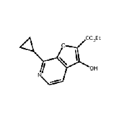 CCOC(=O)c1oc2c(C3CC3)nccc2c1O